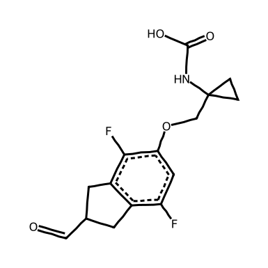 O=CC1Cc2c(F)cc(OCC3(NC(=O)O)CC3)c(F)c2C1